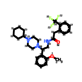 COc1ccccc1C(CNC(=O)Cc1ccccc1C(F)(F)F)N1CCN(C2CCCCC2)CC1